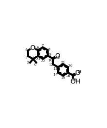 CC1(C)CCOc2ccc(C(=O)Cc3ccc(C(=O)O)cc3)cc21